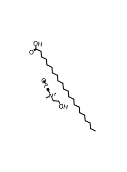 CCCCCCCCCCCCCCCCCCCCCC(=O)O.C[N+](C)(C#P=O)CCO